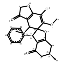 COC1=C(Cl)C2=C(C(=O)CO2)C(OC)C12OC1=C(C(=O)C[C@H](C)C1)[C@@H]2c1ccccc1